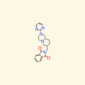 O=C1c2ccccc2C(=O)N1CC1CCC2CN(c3ncccn3)CCN2C1